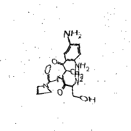 CC(C(=O)c1cc(N)ccc1N)N(C(=O)C(N)CO)C(=O)N1CCC1